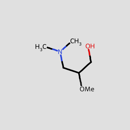 COC(CO)CN(C)C